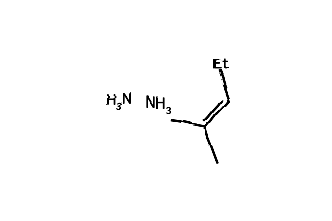 CCC=C(C)C.N.N